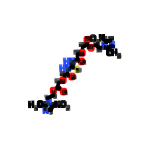 Cc1ncc([N+](=O)[O-])n1CCOC(=O)COCC(=O)NC(=S)NC(=O)COCC(=O)OCCn1c([N+](=O)[O-])cnc1C